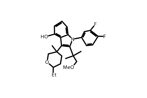 CCC1CCC(C)(c2c(C(C)(C)COC)n(-c3ccc(F)c(F)c3)c3cccc(O)c23)CO1